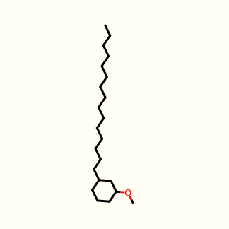 [CH2]OC1CCCC(CCCCCCCCCCCCCCC)C1